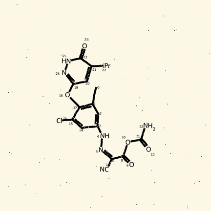 Cc1cc(NN=C(C#N)C(=O)OC(N)=O)cc(Cl)c1Oc1cc(C(C)C)c(=O)[nH]n1